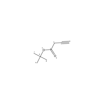 C#CCC(=O)OC(C)(C)C